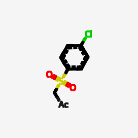 CC(=O)CS(=O)(=O)c1ccc(Cl)cc1